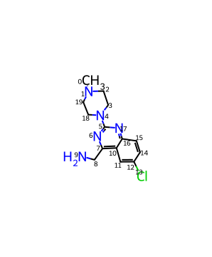 CN1CCN(c2nc(CN)c3cc(Cl)ccc3n2)CC1